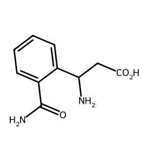 NC(=O)c1ccccc1C(N)CC(=O)O